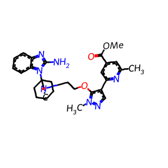 COC(=O)c1cc(C)nc(-c2cnn(C)c2OCCN2CC3CCC(n4c(N)nc5ccccc54)(CC3)C2)c1